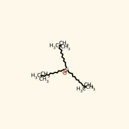 CC(C)(C)CCCCCCCCCC[Si]([O])(CCCCCCCCCCC(C)(C)C)CCCCCCCCCCC(C)(C)C